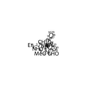 CCC(N)CCC(C)NC(=O)c1c(OC)c(C=O)c(-c2ccccc2NCC(=O)c2ccccc2)n1C